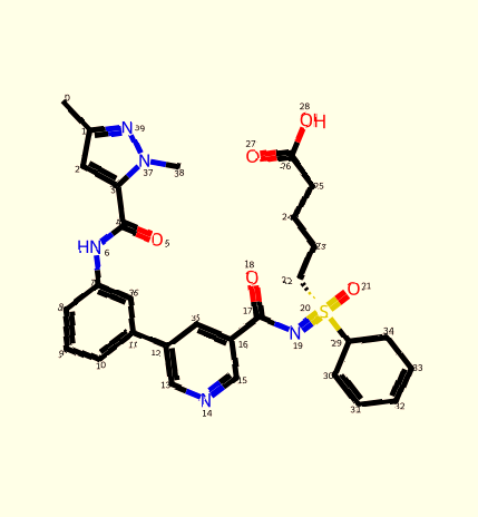 Cc1cc(C(=O)Nc2cccc(-c3cncc(C(=O)N=[S@](=O)(CCCCC(=O)O)C4C=CC=CC4)c3)c2)n(C)n1